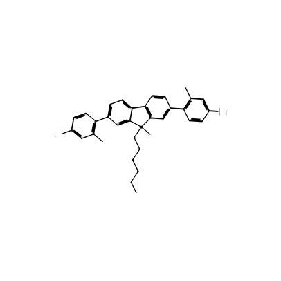 CCCCCCC1(C)c2cc(-c3ccc(Br)cc3C)ccc2-c2ccc(-c3ccc(Br)cc3C)cc21